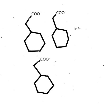 O=C([O-])CC1CCCCC1.O=C([O-])CC1CCCCC1.O=C([O-])CC1CCCCC1.[In+3]